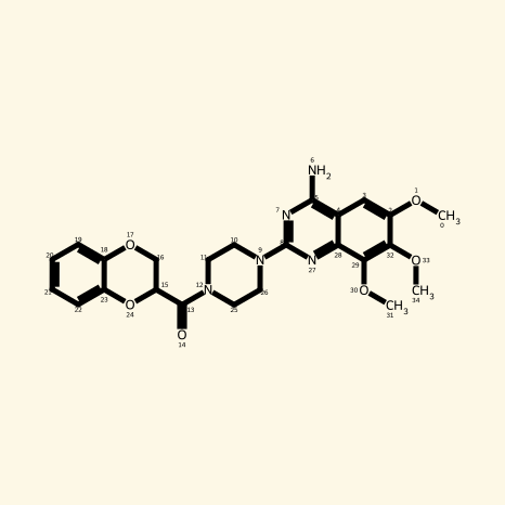 COc1cc2c(N)nc(N3CCN(C(=O)C4COc5ccccc5O4)CC3)nc2c(OC)c1OC